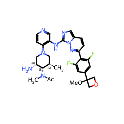 COC1(c2cc(F)c(-c3ccc4cnc(Nc5cnccc5N5C[C@@H](N)[C@@H](N(C)C(C)=O)[C@@H](C)C5)n4n3)c(F)c2)COC1